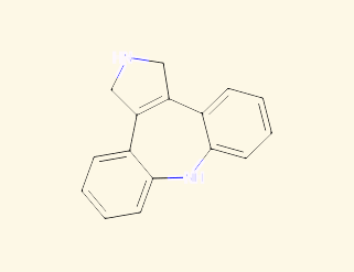 c1ccc2c(c1)Nc1ccccc1C1=C2CNC1